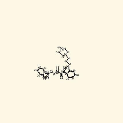 CN1CCN(CCCn2nc(C(=O)NCCc3nnc4ccccn34)c3ccccc32)CC1